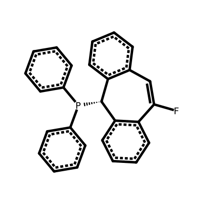 FC1=Cc2ccccc2[C@@H](P(c2ccccc2)c2ccccc2)c2ccccc21